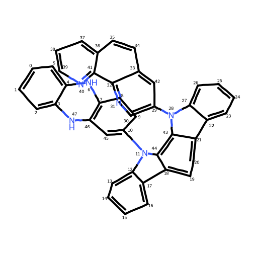 c1ccc2c(c1)Nc1ccc(-n3c4ccccc4c4ccc5c6ccccc6n(-c6cnc7c(ccc8cccnc87)c6)c5c43)cc1N2